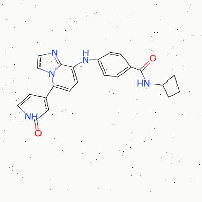 O=C(NC1CCC1)c1ccc(Nc2ccc(-c3cc[nH]c(=O)c3)n3ccnc23)cc1